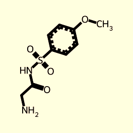 COc1ccc(S(=O)(=O)NC(=O)CN)cc1